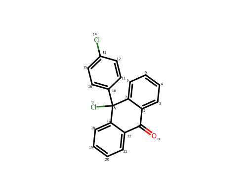 O=C1c2ccccc2C(Cl)(c2ccc(Cl)cc2)c2ccccc21